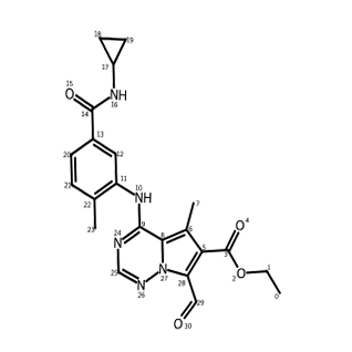 CCOC(=O)c1c(C)c2c(Nc3cc(C(=O)NC4CC4)ccc3C)ncnn2c1C=O